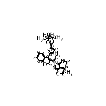 Cc1nn(C(C)C2=C(c3ccc(C4OC(C)(C)C(C)(C)O4)s3)c3ccccc3OC2)c2ncnc(N)c12